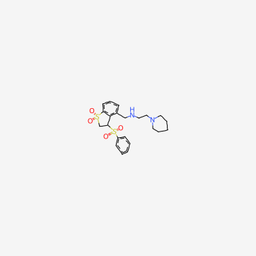 O=S1(=O)CC(S(=O)(=O)c2ccccc2)c2c(CNCCN3CCCCC3)cccc21